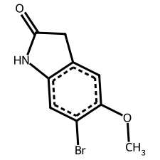 COc1cc2c(cc1Br)NC(=O)C2